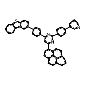 c1cncc(-c2ccc(-c3nc(-c4ccc(-c5ccc6sc7ccccc7c6c5)cc4)cc(-c4ccc5ccc6cccc7ccc4c5c67)n3)cc2)c1